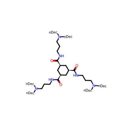 CCCCCCCCCCN(CCCCCCCCCC)CCCNC(=O)[C@H]1C[C@@H](C(=O)NCCCN(CCCCCCCCCC)CCCCCCCCCC)C[C@@H](C(=O)NCCCN(CCCCCCCCCC)CCCCCCCCCC)C1